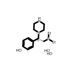 CCN(CC)C[C@H](c1ccccc1)N1CCNCC1.Cl.Cl.Cl